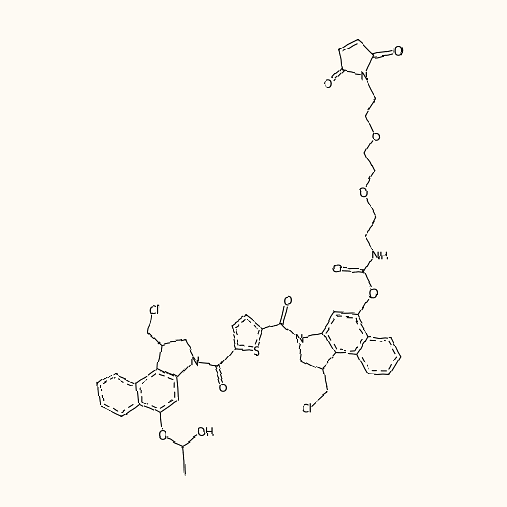 CC(O)Oc1cc2c(c3ccccc13)C(CCl)CN2C(=O)c1ccc(C(=O)N2CC(CCl)c3c2cc(OC(=O)NCCOCCOCCN2C(=O)C=CC2=O)c2ccccc32)s1